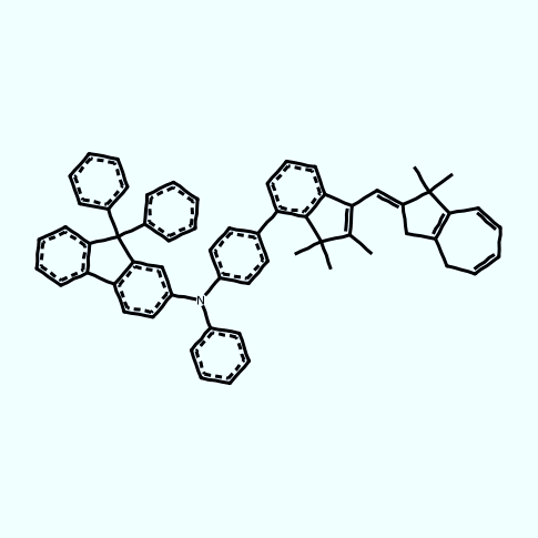 CC1=C(/C=C2\CC3=C(C=CC=CC3)C2(C)C)c2cccc(-c3ccc(N(c4ccccc4)c4ccc5c(c4)C(c4ccccc4)(c4ccccc4)c4ccccc4-5)cc3)c2C1(C)C